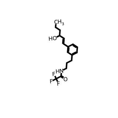 CCCC(O)C=Cc1cccc(CCCNC(=O)C(F)(F)F)c1